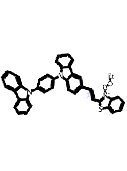 CCOO[n+]1c(/C=C/c2ccc3c(c2)c2ccccc2n3-c2ccc(-n3c4ccccc4c4ccccc43)cc2)sc2ccccc21